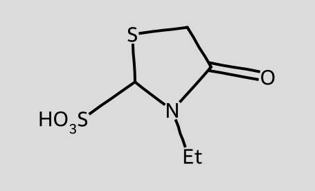 CCN1C(=O)CSC1S(=O)(=O)O